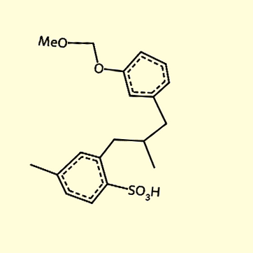 COCOc1cccc(CC(C)Cc2cc(C)ccc2S(=O)(=O)O)c1